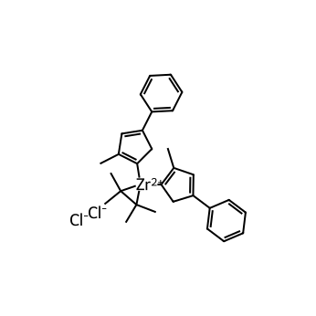 CC1=[C]([Zr+2]2([C]3=C(C)C=C(c4ccccc4)C3)[C](C)(C)[C]2(C)C)CC(c2ccccc2)=C1.[Cl-].[Cl-]